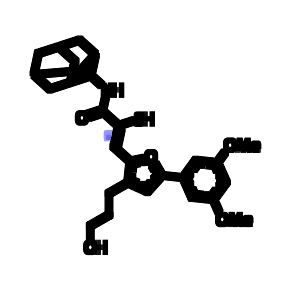 COc1cc(OC)cc(-c2cc(CCCO)c(/C=C(\S)C(=O)NC3C4CC5CC(C4)CC3C5)o2)c1